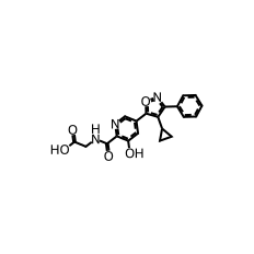 O=C(O)CNC(=O)c1ncc(-c2onc(-c3ccccc3)c2C2CC2)cc1O